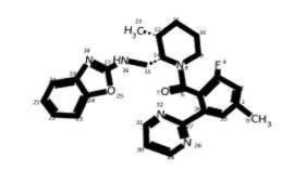 Cc1cc(F)c(C(=O)N2CCC[C@@H](C)[C@H]2CNc2nc3ccccc3o2)c(-c2ncccn2)c1